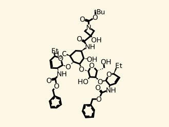 CC[C@H]1C=C[C@@H](NC(=O)OCc2ccccc2)[C@@H](O[C@H]2[C@@H](O)[C@H](O[C@@H]3[C@@H](O)[C@H](NC(=O)C4(O)CN(C(=O)OC(C)(C)C)C4)C[C@H](C)[C@H]3O[C@H]3O[C@H](CC)C=C[C@H]3NC(=O)OCc3ccccc3)O[C@@H]2CO)O1